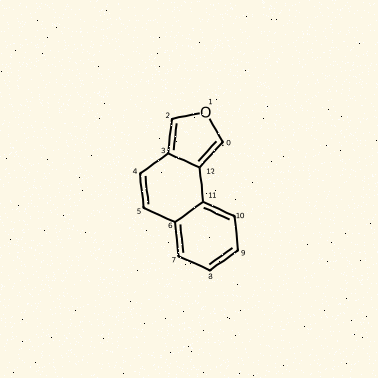 [c]1occ2ccc3ccccc3c12